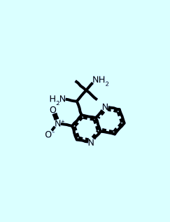 CC(C)(N)C(N)c1c([N+](=O)[O-])cnc2cccnc12